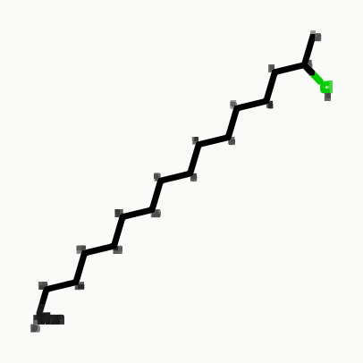 [CH2]C(Cl)CCCCCCCCCCCCCCCCCCCCCC